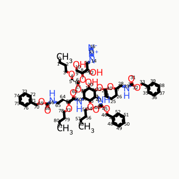 CCCCOC[C@H](OC(CO)[C@@H](O)CN=[N+]=[N-])O[C@@H]1C(O)C(OC2=CCCC(CNC(=O)OCc3ccccc3)O2)[C@@H](NC(=O)OCc2ccccc2)C(OCCCC)C1NC(=O)[C@H](CCNC(=O)OCc1ccccc1)OCCCC